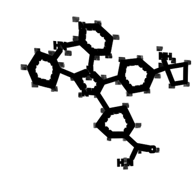 NC(=O)c1ccc(-c2nc3n(c2-c2ccc(C4(N)CCC4)cc2)-c2cccnc2Nc2ccccc2-3)cc1